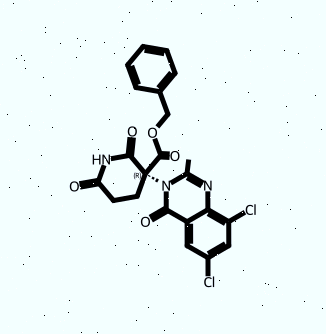 Cc1nc2c(Cl)cc(Cl)cc2c(=O)n1[C@]1(C(=O)OCc2ccccc2)CCC(=O)NC1=O